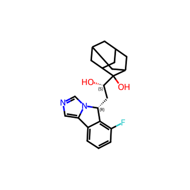 O[C@@H](C[C@@H]1c2c(F)cccc2-c2cncn21)C1(O)C2CC3CC(C2)CC1C3